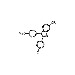 COc1ccc(-n2c(-c3ccc(Cl)cn3)nc3cc(C(F)(F)F)ccc32)cn1